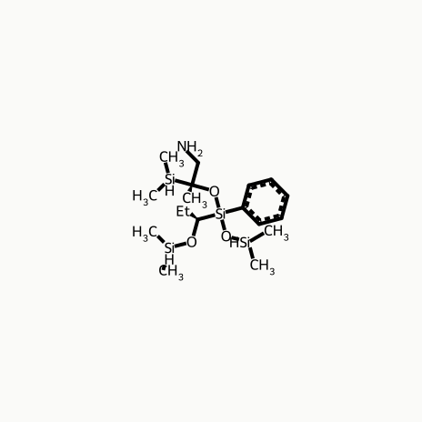 CC[C@H](O[SiH](C)C)[Si](O[SiH](C)C)(O[C@@](C)(CN)[SiH](C)C)c1ccccc1